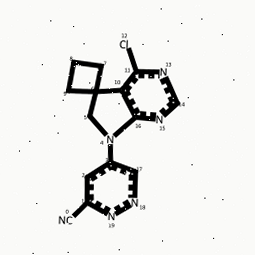 N#Cc1cc(N2CC3(CCC3)c3c(Cl)ncnc32)cnn1